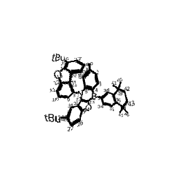 Cc1ccc2c(c1)N(c1cccc3oc4c(C(C)(C)C)cccc4c13)c1c(oc3ccc(C(C)(C)C)cc13)B2c1ccc2c(c1)C(C)(C)CCC2(C)C